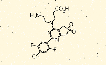 NCCN(CCC(=O)O)c1nc(-c2cc(F)c(Cl)cc2F)nc2c1CS(=O)(=O)C2